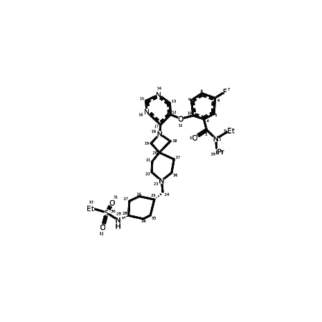 CCN(C(=O)c1cc(F)ccc1Oc1cncnc1N1CC2(CCN(C[C@H]3CC[C@@H](NS(=O)(=O)CC)CC3)CC2)C1)C(C)C